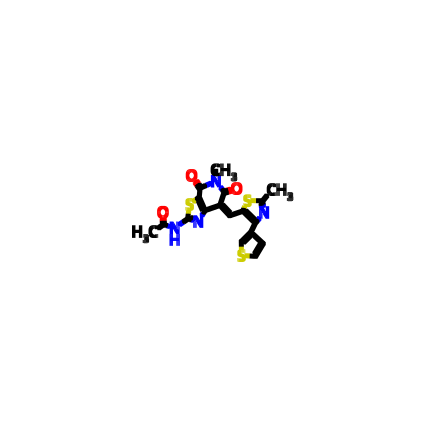 CC(=O)Nc1nc2c(s1)C(=O)N(C)C(=O)/C2=C\c1sc(C)nc1-c1ccsc1